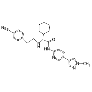 Cn1cc(-c2ccc(NC(=O)C(NCCc3ccc(C#N)cc3)C3CCCCC3)nc2)cn1